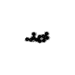 c1ccc(-c2ccc3oc4c(-c5ccc6c7ccccc7n(-c7cccc(-c8ccc9c(-c%10ccccc%10)c%10ccccc%10c(-c%10ccccc%10)c9c8)c7)c6c5)cc(-c5ccccc5)cc4c3c2)cc1